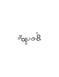 C[C@H](Cc1nc2cc(C(=O)N(C)C)ccc2[nH]1)C1CC2CC1CC2c1ccnc2ccc(F)cc12